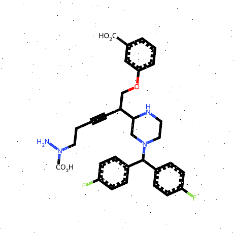 NN(CCC#CC(COc1cccc(C(=O)O)c1)C1CN(C(c2ccc(F)cc2)c2ccc(F)cc2)CCN1)C(=O)O